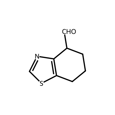 O=CC1CCCc2scnc21